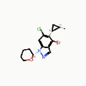 C[C@H]1C[C@H]1c1c(Cl)cc2c(cnn2[C@H]2CCCCO2)c1Br